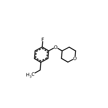 CCc1ccc(F)c(OC2CCOCC2)c1